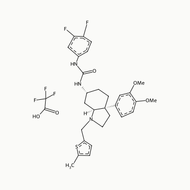 COc1ccc([C@@]23CC[C@@H](NC(=O)Nc4ccc(F)c(F)c4)C[C@@H]2N(Cc2ccc(C)s2)CC3)cc1OC.O=C(O)C(F)(F)F